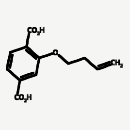 C=CCCOc1cc(C(=O)O)ccc1C(=O)O